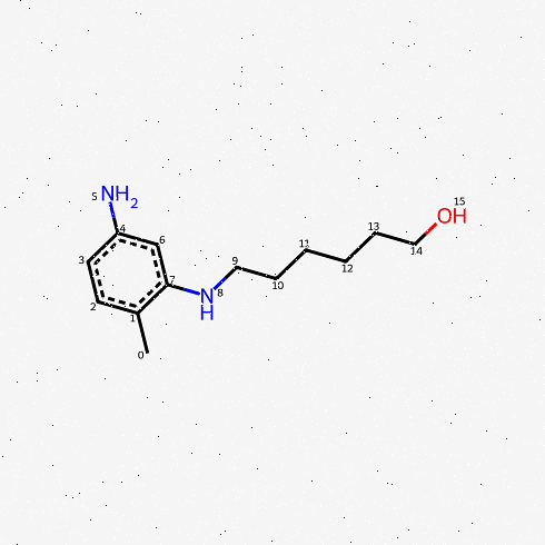 Cc1ccc(N)cc1NCCCCCCO